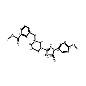 COC(=O)c1ccnc(CN2CCC[C@H](c3nn(-c4ccc(OC)cc4)c(=O)[nH]3)C2)c1